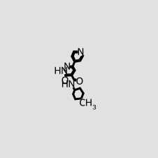 CC1CCC(NC(=O)c2cc(-c3ccncc3)n[nH]c2=O)CC1